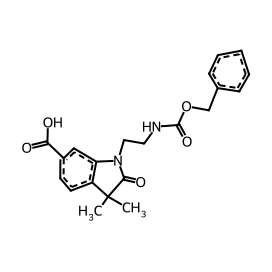 CC1(C)C(=O)N(CCNC(=O)OCc2ccccc2)c2cc(C(=O)O)ccc21